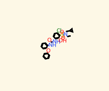 CCN(CC1CC1)S(=O)(=O)c1c(Cl)ccc(NC(=O)Nc2ccccc2Oc2ccccc2)c1O